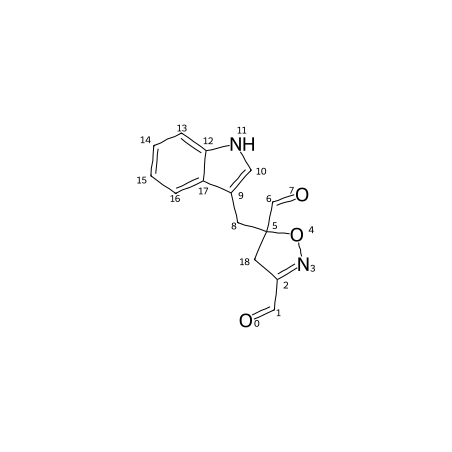 O=CC1=NOC(C=O)(Cc2c[nH]c3ccccc23)C1